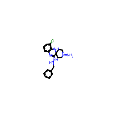 NN1CCC2(CC1)Nc1c(Cl)cccc1N=C2NNCc1ccccc1